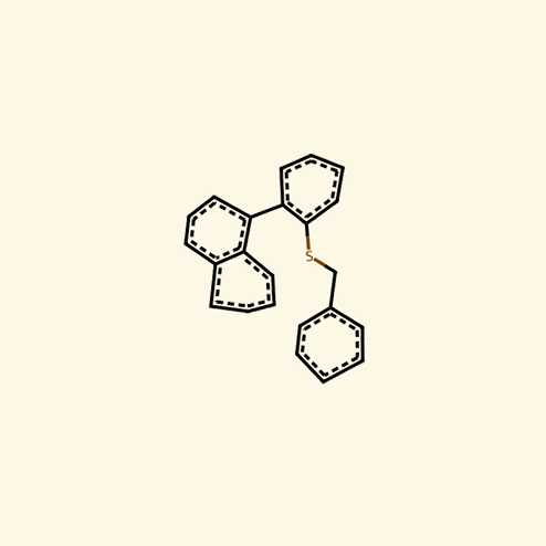 c1ccc(CSc2ccccc2-c2cccc3ccccc23)cc1